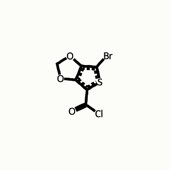 O=C(Cl)c1sc(Br)c2c1OCO2